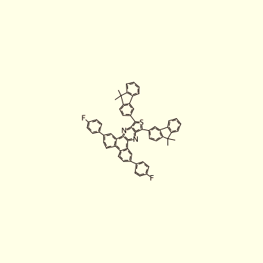 CC1(C)c2ccccc2-c2cc(-c3sc(-c4ccc5c(c4)-c4ccccc4C5(C)C)c4nc5c6cc(-c7ccc(F)cc7)ccc6c6ccc(-c7ccc(F)cc7)cc6c5nc34)ccc21